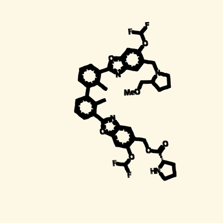 COCC1CCCN1Cc1cc2nc(-c3cccc(-c4cccc(-c5nc6cc(COC(=O)[C@@H]7CCCN7)c(OC(F)F)cc6o5)c4C)c3C)oc2cc1OC(F)F